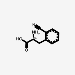 N#Cc1ccccc1C[C@H](N)C(=O)O